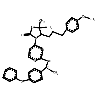 COc1ccc(CCCC2N(c3ccnc(N[C@@H](C)c4ccc(Oc5ccccc5)cc4)n3)C(=O)OC2(C)C)cc1